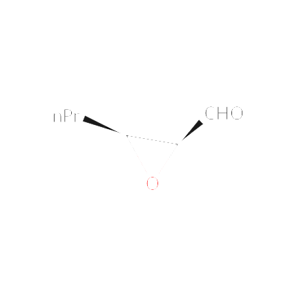 CCC[C@@H]1O[C@@H]1C=O